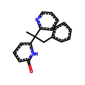 CC(Cc1ccccc1)(c1ccccn1)c1cccc(=O)[nH]1